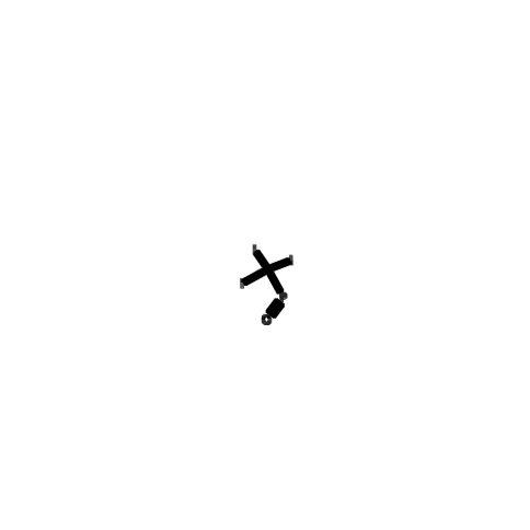 O=PC(I)(I)I